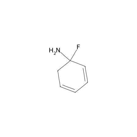 NC1(F)C=CC=CC1